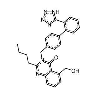 CCCCc1nc2cccc(CO)c2c(=O)n1Cc1ccc(-c2ccccc2-c2nnn[nH]2)cc1